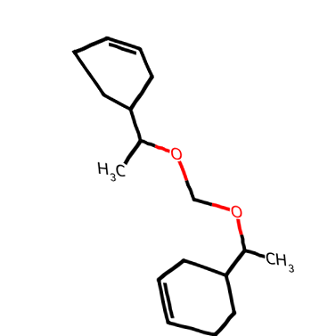 CC(OCOC(C)C1CC=CCC1)C1CC=CCC1